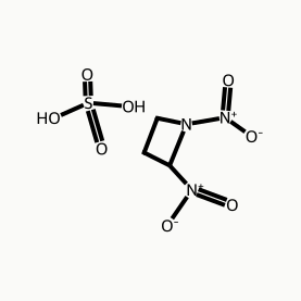 O=S(=O)(O)O.O=[N+]([O-])C1CCN1[N+](=O)[O-]